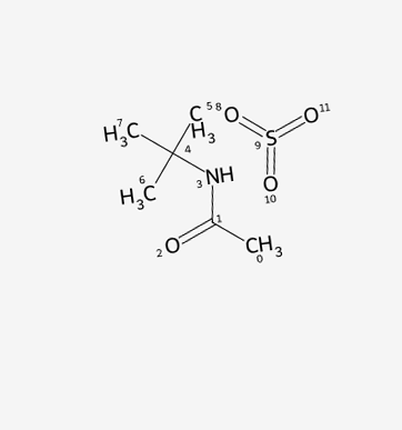 CC(=O)NC(C)(C)C.O=S(=O)=O